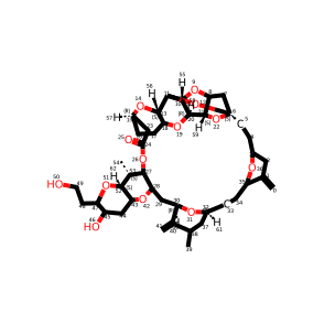 C=C1CC2CC[C@@]34CC5O[C@H]6C(O3)[C@H]3O[C@H](CCC3O[C@H]6[C@H]5O4)CC(=O)OC3C(C[C@H]4O[C@@H](CCC1O2)CC(C)C4=C)OC1CC(O)C(CCO)O[C@H]1[C@@H]3C